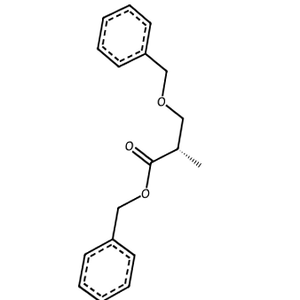 C[C@@H](COCc1ccccc1)C(=O)OCc1ccccc1